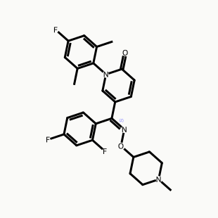 Cc1cc(F)cc(C)c1-n1cc(/C(=N/OC2CCN(C)CC2)c2ccc(F)cc2F)ccc1=O